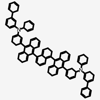 C1=CCC(c2cccc(N(C3=CCCC(c4c5c(c(-c6cccc7c6=CCCC=7c6c7c(c(C8=CC=CC(N(C9=CCCC=C9)C9=CC(c%10ccccc%10)=CCC9)C8)c8ccccc68)=CCCC=7)c6ccccc46)=CCCC=5)=C3)C3C=CC=CC3)c2)C=C1